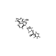 CC(C)(C)[Si](OC[C@H]1CC[C@H](OC(=O)c2ccccc2)CO1)(c1ccccc1)c1ccccc1